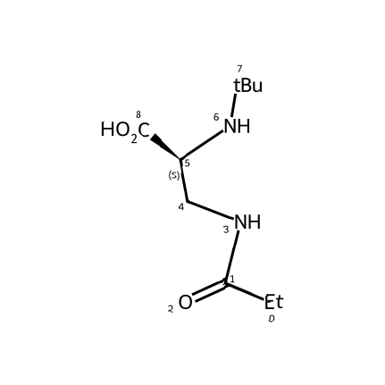 CCC(=O)NC[C@H](NC(C)(C)C)C(=O)O